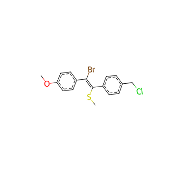 COc1ccc(C(Br)=C(SC)c2ccc(CCl)cc2)cc1